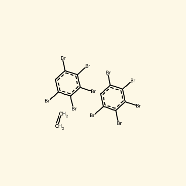 Brc1cc(Br)c(Br)c(Br)c1Br.Brc1cc(Br)c(Br)c(Br)c1Br.C=C